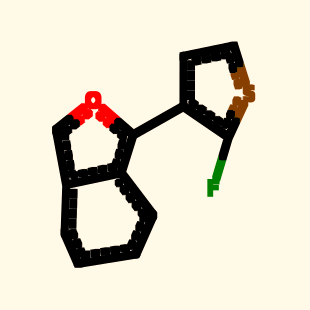 Fc1sccc1-c1occ2ccccc12